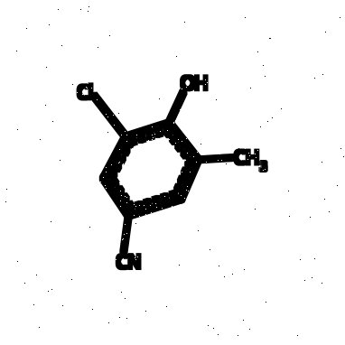 Cc1cc(C#N)cc(Cl)c1O